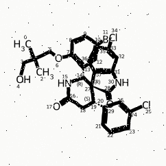 CC(C)(CO)COc1ccc(Br)cc1[C@H]1NC(=O)C[C@@H](c2cccc(Cl)c2)[C@]12C(=O)Nc1cc(Cl)ccc12